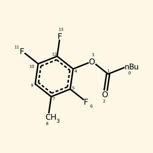 CCCCC(=O)Oc1c(F)c(C)cc(F)c1F